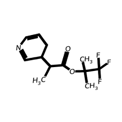 CC(C(=O)OC(C)(C)C(F)(F)F)C1C=NC=CC1